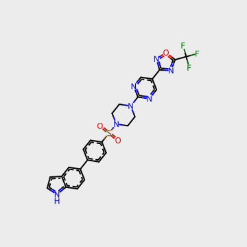 O=S(=O)(c1ccc(-c2ccc3[nH]ccc3c2)cc1)N1CCN(c2ncc(-c3noc(C(F)(F)F)n3)cn2)CC1